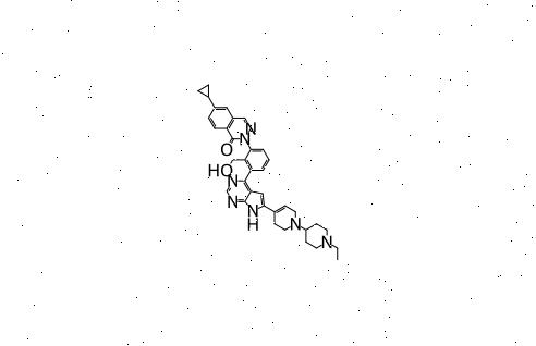 CCN1CCC(N2CC=C(c3cc4c(-c5cccc(-n6ncc7cc(C8CC8)ccc7c6=O)c5CO)ncnc4[nH]3)CC2)CC1